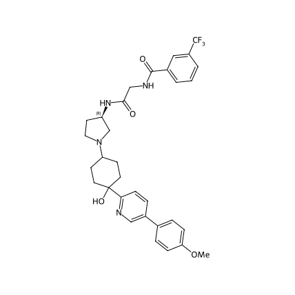 COc1ccc(-c2ccc(C3(O)CCC(N4CC[C@@H](NC(=O)CNC(=O)c5cccc(C(F)(F)F)c5)C4)CC3)nc2)cc1